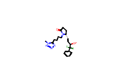 Cn1nnnc1CCCCN1C(=O)CC[C@@H]1/C=C/C(O)C(F)(F)c1ccccc1